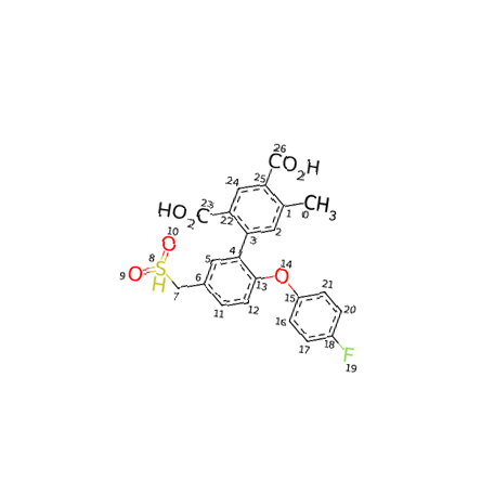 Cc1cc(-c2cc(C[SH](=O)=O)ccc2Oc2ccc(F)cc2)c(C(=O)O)cc1C(=O)O